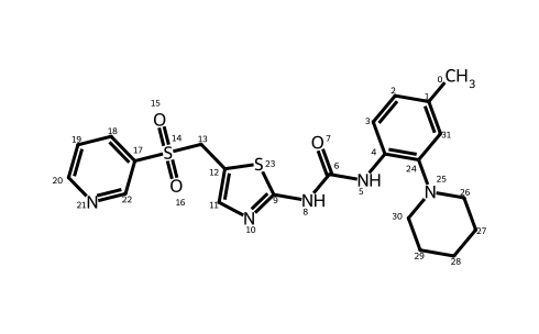 Cc1ccc(NC(=O)Nc2ncc(CS(=O)(=O)c3cccnc3)s2)c(N2CCCCC2)c1